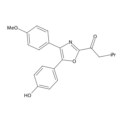 COc1ccc(-c2nc(C(=O)CC(C)C)oc2-c2ccc(O)cc2)cc1